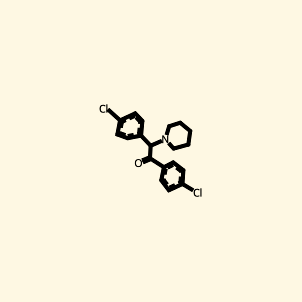 O=C(c1ccc(Cl)cc1)C(c1ccc(Cl)cc1)N1CCCCC1